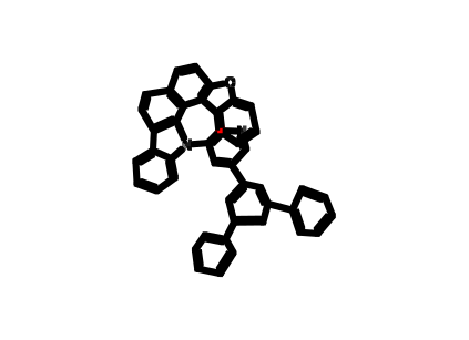 c1ccc(-c2cc(-c3ccccc3)cc(-c3cncc(-n4c5ccccc5c5ccc6ccc7oc8ccccc8c7c6c54)c3)c2)cc1